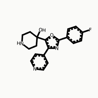 OC1(c2oc(-c3ccc(F)cc3)nc2-c2ccncc2)CCNCC1